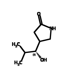 CC(C)[C@@H](O)C1CNC(=O)C1